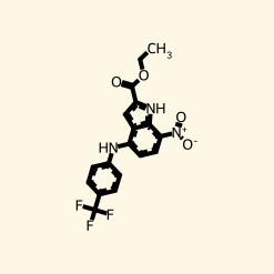 CCOC(=O)c1cc2c(Nc3ccc(C(F)(F)F)cc3)ccc([N+](=O)[O-])c2[nH]1